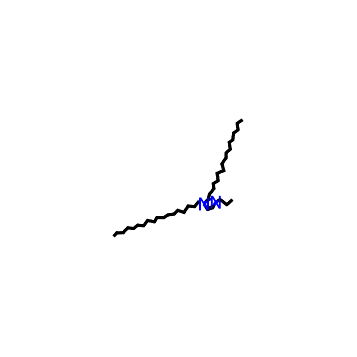 CCCCCCCCCCCCCCCCCCN1C=CN(CCC)C1CCCCCCCCCCCCCCCC